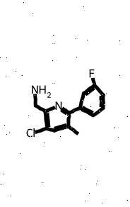 Cc1cc(Cl)c(CN)nc1-c1cccc(F)c1